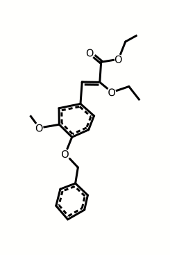 CCOC(=O)C(=Cc1ccc(OCc2ccccc2)c(OC)c1)OCC